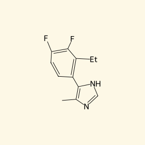 CCc1c(-c2[nH]cnc2C)ccc(F)c1F